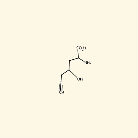 C#CCC(O)CC(N)C(=O)O